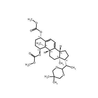 COC(=O)O[C@H]1CC[C@H](OC(=O)OC)[C@@]2(C)C1=CC=C1[C@@H]3CC[C@H](C(C)C4OCC(C)(C)CO4)[C@@]3(C)CC[C@@H]12